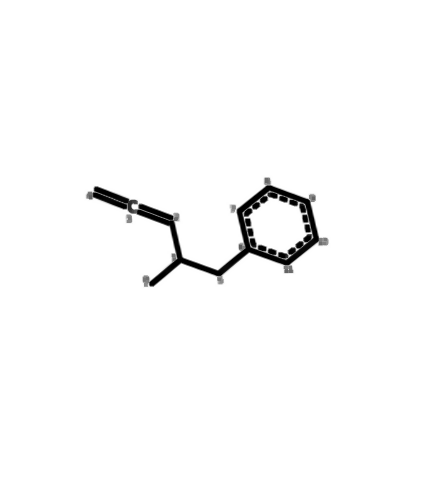 [CH2]C(C=C=C)Cc1ccccc1